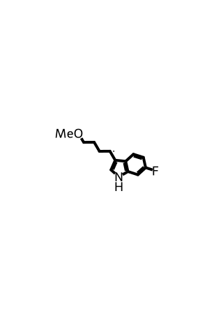 COCCC[CH]c1c[nH]c2cc(F)ccc12